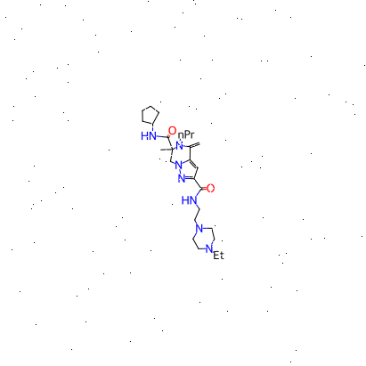 C=C1c2cc(C(=O)NCCN3CCN(CC)CC3)nn2CC(C)(C(=O)NC2CCCC2)N1CCC